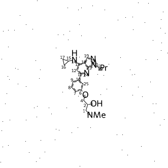 CNCC(O)COc1cccc(-c2cc(NC3CC3)c3cnn(C(C)C)c3n2)c1